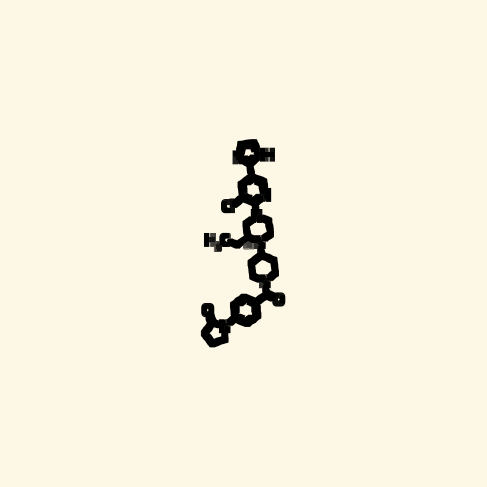 CC[C@H]1CN(c2ncc(-c3ncc[nH]3)cc2Cl)CCN1C1CCN(C(=O)c2ccc(N3CCCC3=O)cc2)CC1